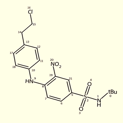 CC(C)(C)NS(=O)(=O)c1ccc(Nc2ccc(CCCl)cc2)c([N+](=O)[O-])c1